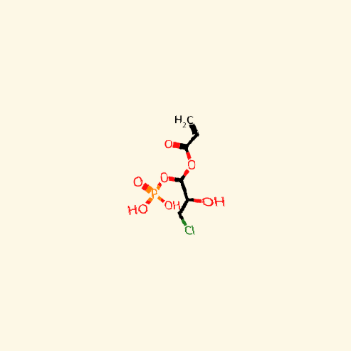 C=CC(=O)OC(OP(=O)(O)O)C(O)CCl